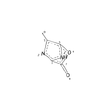 Cc1nc2[nH]c1oc2=O